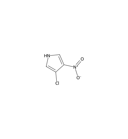 O=[N+]([O-])c1c[nH]cc1Cl